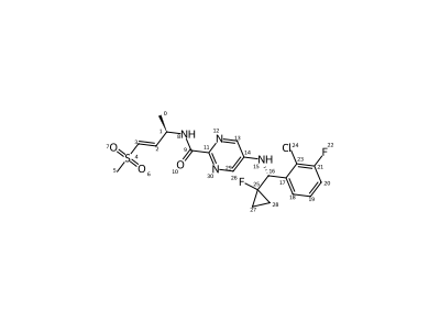 C[C@H](/C=C/S(C)(=O)=O)NC(=O)c1ncc(N[C@H](c2cccc(F)c2Cl)C2(F)CC2)cn1